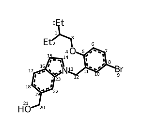 CCC(CC)COc1ccc(Br)cc1Cn1ccc2ccc(CO)cc21